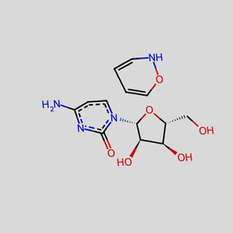 C1=CNOC=C1.Nc1ccn([C@@H]2O[C@H](CO)[C@@H](O)[C@H]2O)c(=O)n1